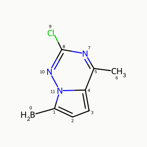 Bc1ccc2c(C)nc(Cl)nn12